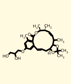 Cc1cc(OCC(O)CO)cc2c1C(=O)O[C@@H](C)[C@H](C)/C=C\C(C)C1OC(C)(C)O[C@H]1C/C=C/2